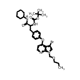 CCCOCn1cc(Br)c2c(Oc3ccc(CC(NC(=O)OC(C)(C)C)C(=O)NC4CCCCC4)cc3)ccnc21